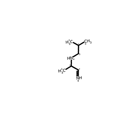 CC(C)CNC(C)C=N